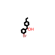 CCc1ccc(C(O)c2cccc(Br)c2)cc1